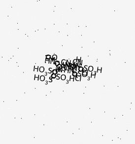 Cc1c(C#N)c(Nc2ccc(Cl)c(S(=O)(=O)O)c2)nc(Nc2ccc(Cl)c(S(=O)(=O)O)c2)c1N=Nc1sc(N=Nc2cc(S(=O)(=O)O)c3cc(S(=O)(=O)O)cc(S(=O)(=O)O)c3c2)c(-c2ccc(NC(=O)c3ccccc3)cc2)c1C#N